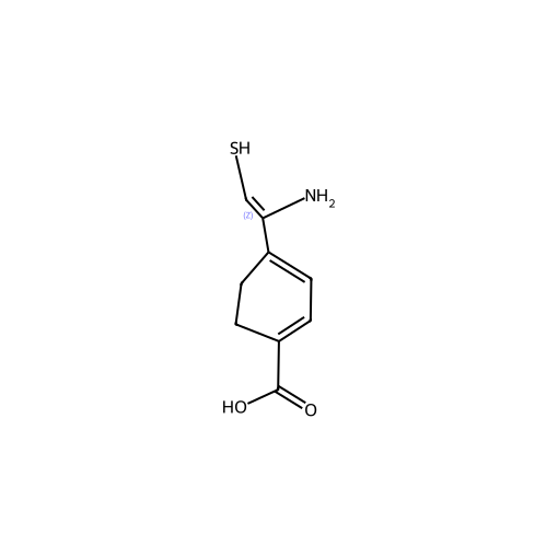 N/C(=C\S)C1=CC=C(C(=O)O)CC1